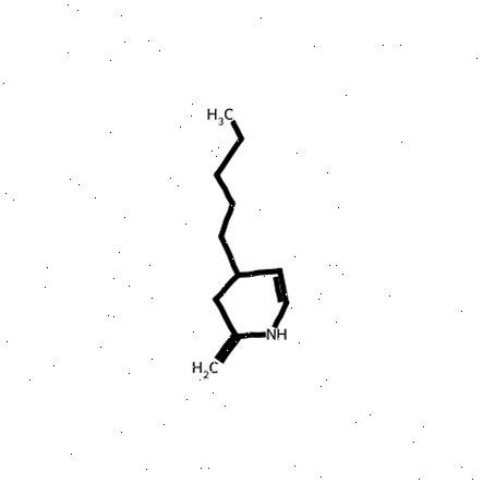 C=C1CC(CCCCC)C=CN1